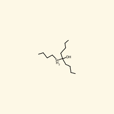 CCC[CH2][SnH2][C](O)(CCCC)CCCC